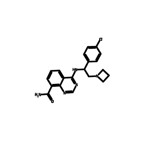 NC(=O)c1cccc2c(NC(CN3CCC3)c3ccc(Cl)cc3)ncnc12